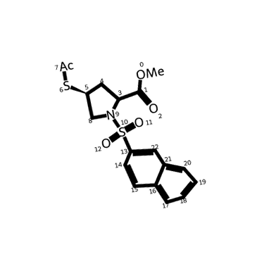 COC(=O)C1C[C@H](SC(C)=O)CN1S(=O)(=O)c1ccc2ccccc2c1